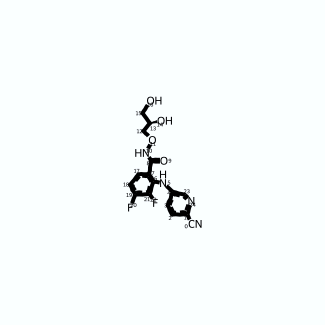 N#Cc1ccc(Nc2c(C(=O)NOC[C@H](O)CO)ccc(F)c2F)cn1